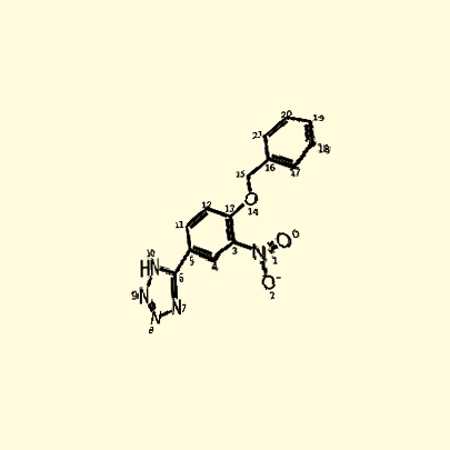 O=[N+]([O-])c1cc(-c2nnn[nH]2)ccc1OCc1ccccc1